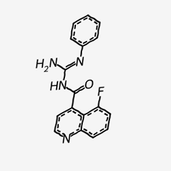 NC(=Nc1ccccc1)NC(=O)c1ccnc2cccc(F)c12